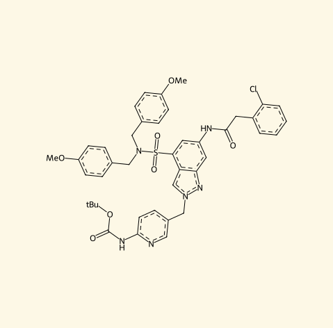 COc1ccc(CN(Cc2ccc(OC)cc2)S(=O)(=O)c2cc(NC(=O)Cc3ccccc3Cl)cc3nn(Cc4ccc(NC(=O)OC(C)(C)C)nc4)cc23)cc1